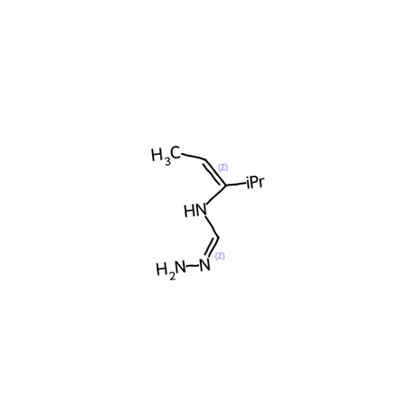 C/C=C(\N/C=N\N)C(C)C